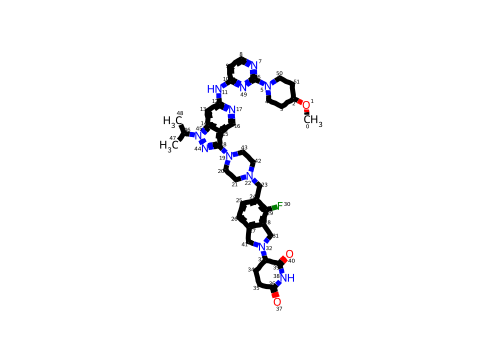 COC1CCN(c2nccc(Nc3cc4c(cn3)c(N3CCN(Cc5ccc6c(c5F)CN(C5CCC(=O)NC5=O)C6)CC3)nn4C(C)C)n2)CC1